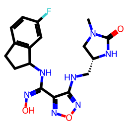 CN1C[C@@H](CNc2nonc2/C(=N\O)NC2CCc3ccc(F)cc32)NC1=O